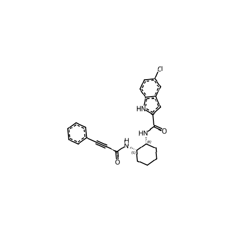 O=C(C#Cc1ccccc1)N[C@H]1CCCC[C@H]1NC(=O)c1cc2cc(Cl)ccc2[nH]1